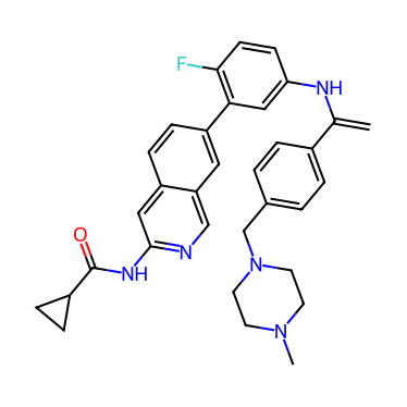 C=C(Nc1ccc(F)c(-c2ccc3cc(NC(=O)C4CC4)ncc3c2)c1)c1ccc(CN2CCN(C)CC2)cc1